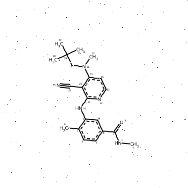 CNC(=O)c1ccc(C)c(Nc2nccc(N(C)CC(C)(C)C)c2C#N)c1